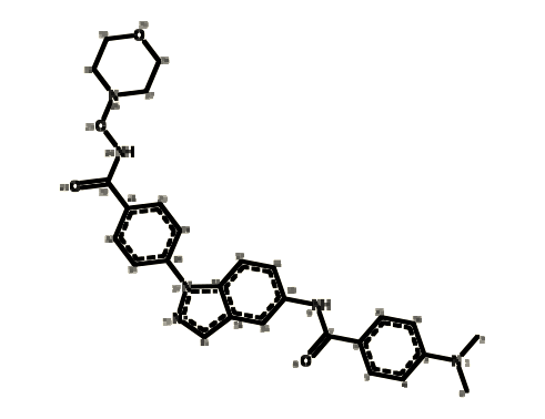 CN(C)c1ccc(C(=O)Nc2ccc3c(cnn3-c3ccc(C(=O)NON4CCOCC4)cc3)c2)cc1